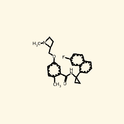 Cc1ccc(OCC2CCN2C)cc1C(=O)NC1(c2cccc3ccc(F)cc23)CC1